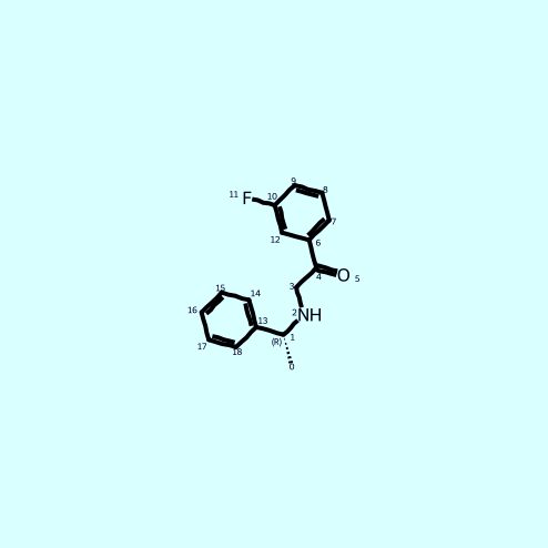 C[C@@H](NCC(=O)c1cccc(F)c1)c1ccccc1